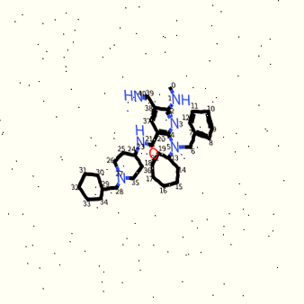 CNc1nc(N(Cc2ccccc2)C2CCCCCC2)c(C(=O)NC2CCN(CC3CCCCC3)CC2)cc1C=N